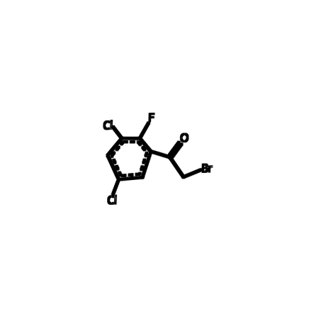 O=C(CBr)c1cc(Cl)cc(Cl)c1F